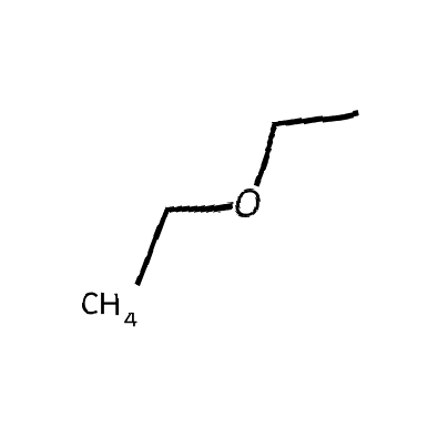 C.CCOCC